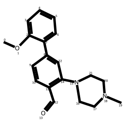 COc1ccccc1-c1ccc(C=O)c(N2CCN(C)CC2)c1